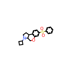 O=S(=O)(c1ccccc1)c1ccc2c(c1)OCC1C2CCN1C1CCC1